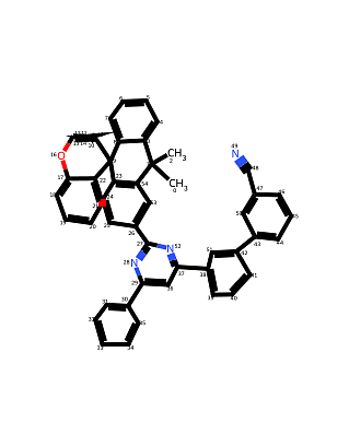 CC1(C)c2ccccc2C2(c3ccccc3Oc3ccccc32)c2ccc(-c3nc(-c4ccccc4)cc(-c4cccc(-c5cccc(C#N)c5)c4)n3)cc21